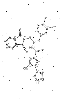 O=C(N[C@@H](Cc1ccc(F)c(F)c1)CN1C(=O)c2ccccc2C1=O)c1cc(-c2cn[nH]c2)c(Cl)s1